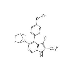 CC(C)Oc1ccc(-c2c(C3CC4CCC3C4)ccc3[nH]c(C(=O)O)c(Cl)c23)cc1